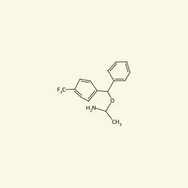 CC(N)OC(c1ccccc1)c1ccc(C(F)(F)F)cc1